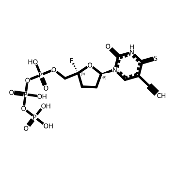 C#Cc1cn([C@H]2CC[C@@](F)(COP(=O)(O)OP(=O)(O)OP(=O)(O)O)O2)c(=O)[nH]c1=S